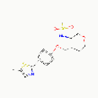 Cc1cnc(-c2ccc(OC[C@H]3CCOC[C@@H]3NS(C)(=O)=O)cc2)s1